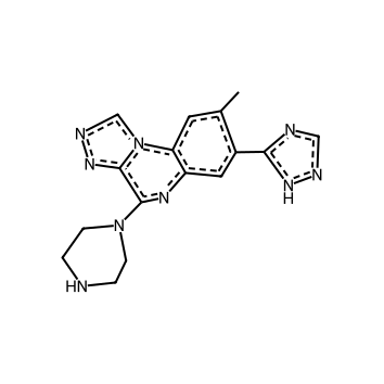 Cc1cc2c(cc1-c1ncn[nH]1)nc(N1CCNCC1)c1nncn12